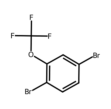 FC(F)(F)Oc1cc(Br)ccc1Br